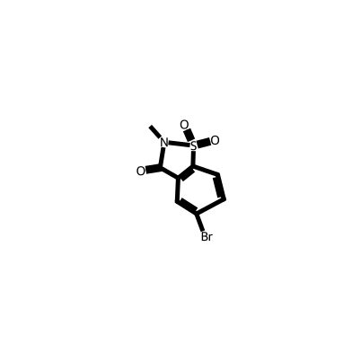 CN1C(=O)c2cc(Br)ccc2S1(=O)=O